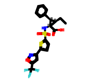 CC[C@@H]1[C@H](c2ccccc2)[C@]1(NS(=O)(=O)c1ccc(-c2cc(C(F)(F)F)on2)s1)C(=O)O